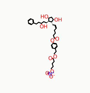 O=C(CCCCO[N+](=O)[O-])OCCc1ccc(OC(=O)CCC/C=C\C[C@@H]2[C@@H](CC[C@@H](O)CCc3ccccc3)[C@H](O)C[C@@H]2O)cc1